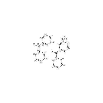 CN(c1ccccc1)c1ccccc1.CN(c1ccccc1)c1ccccc1.O